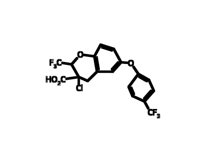 O=C(O)C1(Cl)Cc2cc(Oc3ccc(C(F)(F)F)cc3)ccc2OC1C(F)(F)F